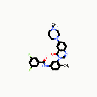 Cc1ccc(NC(=O)c2cc(F)cc(F)c2)cc1-n1cnc2ccc(N3CCCN(C)CC3)cc2c1=O